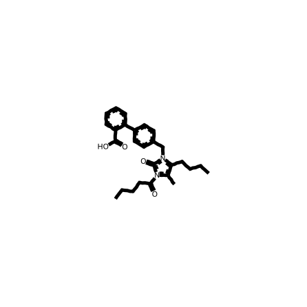 CCCCC(=O)n1c(C)c(CCCC)n(Cc2ccc(-c3ccccc3C(=O)O)cc2)c1=O